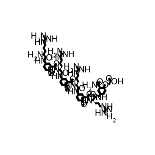 COc1ccc(NC(=O)[C@H](CCCNC(=N)N)NC(=O)c2cc(NC(=O)[C@H](CCCNC(=N)N)NC(=O)c3cc(NC(=O)[C@@H](N)CCCNC(=N)N)ccc3OC)ccc2OC)cc1C(=O)N[C@@H](CCCNC(=N)N)C(=O)Nc1ccc(OCC(=O)O)c(C(N)=O)c1